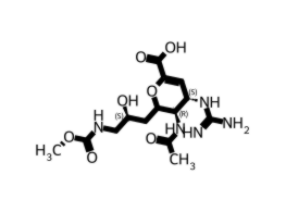 COC(=O)NC[C@@H](O)CC1OC(C(=O)O)=C[C@H](NC(=N)N)[C@H]1NC(C)=O